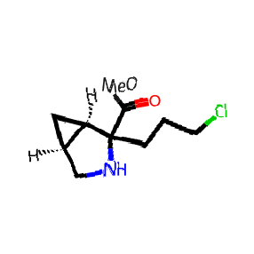 COC(=O)C1(CCCCl)NC[C@H]2C[C@H]21